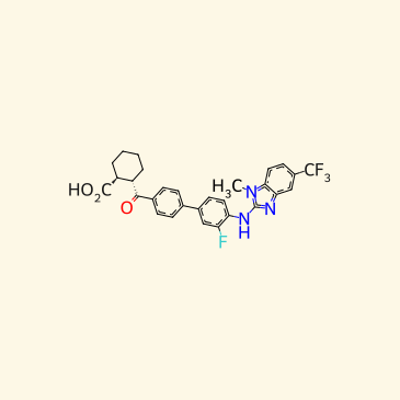 Cn1c(Nc2ccc(-c3ccc(C(=O)[C@H]4CCCC[C@@H]4C(=O)O)cc3)cc2F)nc2cc(C(F)(F)F)ccc21